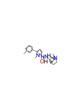 Cc1cccc(-c2ccc(C(=O)N[C@@H]3C4CCN(CC4)[C@H]3C)n2C)c1